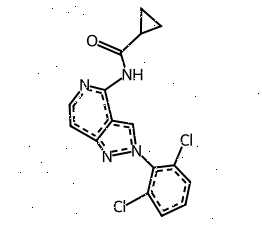 O=C(Nc1nccc2nn(-c3c(Cl)cccc3Cl)cc12)C1CC1